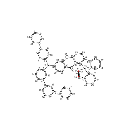 c1ccc(-c2ccc(N(c3cccc(-c4cccc(-c5ccccc5)c4)c3)c3ccc4c(c3)Oc3ccc5c(c3O4)C3(c4ccccc4-c4ccccc43)c3ccccc3-5)cc2)cc1